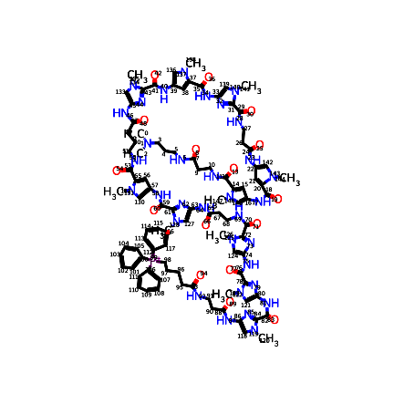 CN(C)CCCNC(=O)CCNC(=O)c1cc(NC(=O)c2cc(NC(=O)CCNC(=O)c3nc(NC(=O)c4cc(NC(=O)c5nc(NC(=O)CCCNC(=O)c6cc(NC(=O)c7nc(NC(=O)CCNC(=O)c8nc(NC(=O)c9nc(NC(=O)c%10nc(NC(=O)CCNC(=O)CCCC[P+](c%11ccccc%11)(c%11ccccc%11)c%11ccccc%11)cn%10C)cn9C)cn8C)cn7C)cn6C)cn5C)cn4C)cn3C)cn2C)cn1C